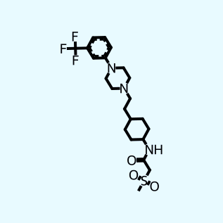 CS(=O)(=O)CC(=O)NC1CCC(CCN2CCN(c3cccc(C(F)(F)F)c3)CC2)CC1